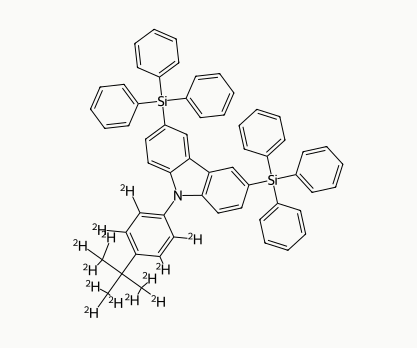 [2H]c1c([2H])c(C(C([2H])([2H])[2H])(C([2H])([2H])[2H])C([2H])([2H])[2H])c([2H])c([2H])c1-n1c2ccc([Si](c3ccccc3)(c3ccccc3)c3ccccc3)cc2c2cc([Si](c3ccccc3)(c3ccccc3)c3ccccc3)ccc21